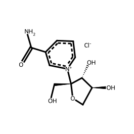 NC(=O)c1ccc[n+]([C@@]2(CO)OC[C@H](O)[C@H]2O)c1.[Cl-]